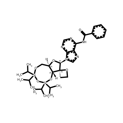 CC(C)[Si]1(C(C)C)OC[C@H]2O[C@@H](n3cnc4c(NC(=O)c5ccccc5)ncnc43)[C@]3(CCO3)[C@@H]2O[Si](C(C)C)(C(C)C)O1